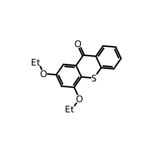 CCOc1cc(OCC)c2sc3ccccc3c(=O)c2c1